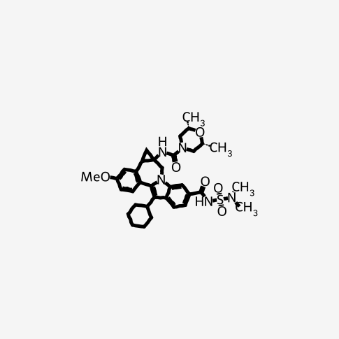 COc1ccc2c(c1)C1CC1(NC(=O)N1C[C@@H](C)O[C@@H](C)C1)Cn1c-2c(C2CCCCC2)c2ccc(C(=O)NS(=O)(=O)N(C)C)cc21